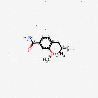 COc1cc(C(N)=O)ccc1CC(C)C